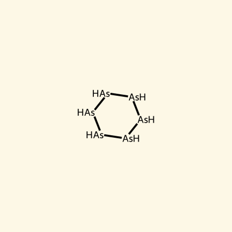 [AsH]1[AsH][AsH][AsH][AsH][AsH]1